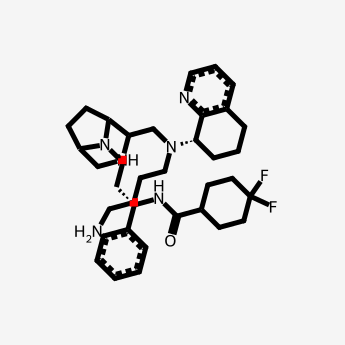 NCCCCN(CC1NCC2CCC1N2CC[C@H](NC(=O)C1CCC(F)(F)CC1)c1ccccc1)[C@H]1CCCc2cccnc21